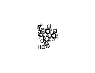 CCC(CS(=O)(=O)CC1CC1)N1C(=O)[C@@](C)(CC(=O)O)C[C@H](c2cccc(Cl)c2)[C@H]1c1ccc(Cl)cc1